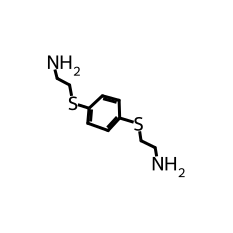 NCCSc1ccc(SCCN)cc1